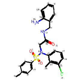 Cc1ccc(S(=O)(=O)N(CC(=O)NCc2ccccc2N)c2cccc(Cl)c2C)cc1